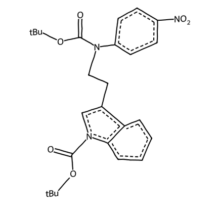 CC(C)(C)OC(=O)N(CCc1cn(C(=O)OC(C)(C)C)c2ccccc12)c1ccc([N+](=O)[O-])cc1